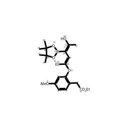 CCOC(=O)Cc1ccc(OC)cc1O/C(=C/C(B1OC(C)(C)C(C)(C)O1)=C(\C)O)CC